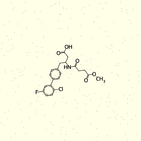 COC(=O)CCC(=O)NC(CC(=O)O)Cc1ccc(-c2cc(F)ccc2Cl)cc1